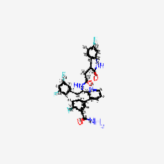 NC(=O)c1cc(-c2cccnc2C(Cc2cc(F)cc(F)c2)NC(=O)CC2C(=O)Nc3cc(F)ccc32)ccc1F